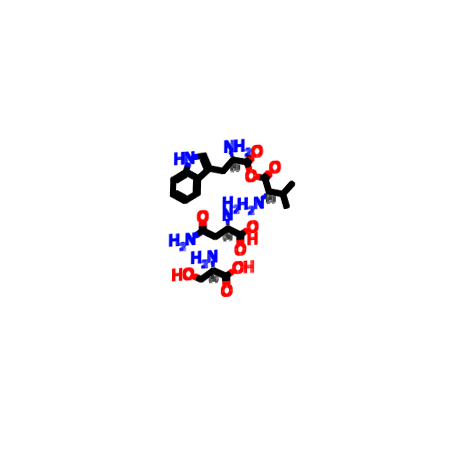 CC(C)[C@H](N)C(=O)OC(=O)[C@@H](N)Cc1c[nH]c2ccccc12.NC(=O)C[C@H](N)C(=O)O.N[C@@H](CO)C(=O)O